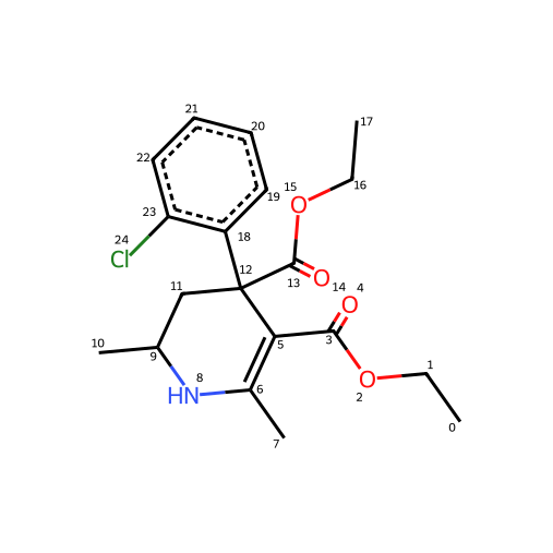 CCOC(=O)C1=C(C)NC(C)CC1(C(=O)OCC)c1ccccc1Cl